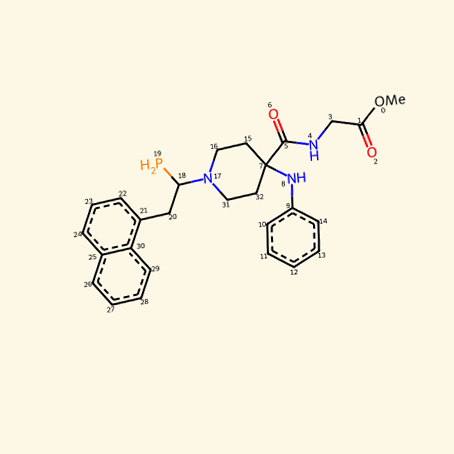 COC(=O)CNC(=O)C1(Nc2ccccc2)CCN(C(P)Cc2cccc3ccccc23)CC1